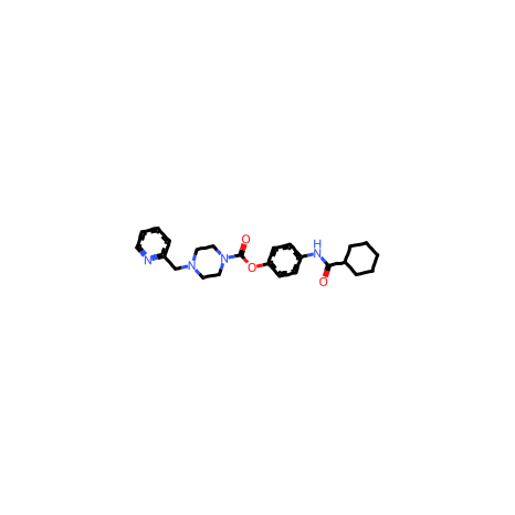 O=C(Nc1ccc(OC(=O)N2CCN(Cc3ccccn3)CC2)cc1)C1CCCCC1